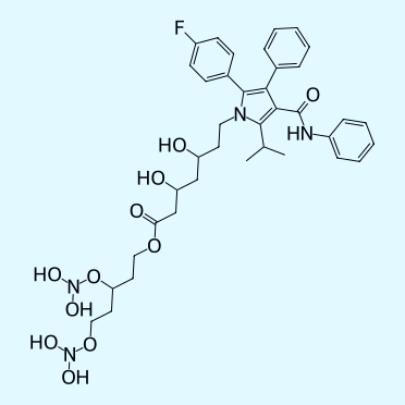 CC(C)c1c(C(=O)Nc2ccccc2)c(-c2ccccc2)c(-c2ccc(F)cc2)n1CCC(O)CC(O)CC(=O)OCCC(CCON(O)O)ON(O)O